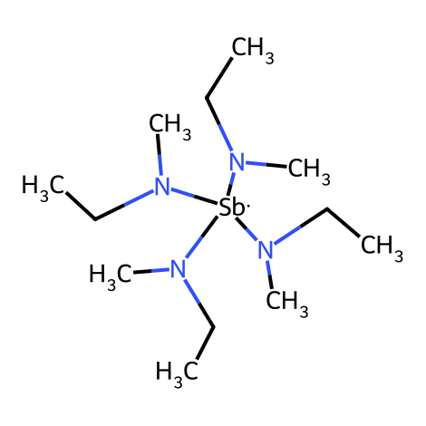 CC[N](C)[Sb]([N](C)CC)([N](C)CC)[N](C)CC